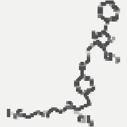 CCCOCCO[C@@H](C)Cc1ccc(OCCc2nc(-c3ccccc3)oc2C)cc1